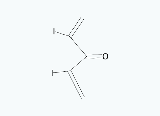 C=C(I)C(=O)C(=C)I